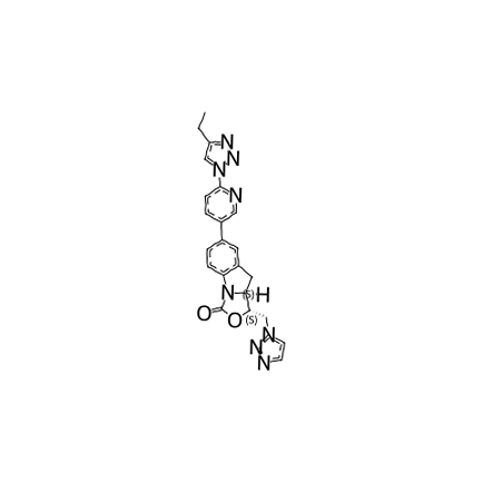 CCc1cn(-c2ccc(-c3ccc4c(c3)C[C@H]3[C@H](Cn5ccnn5)OC(=O)N43)cn2)nn1